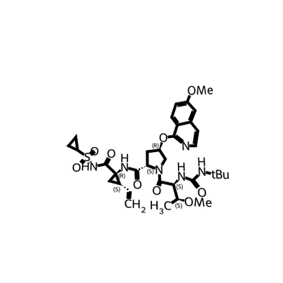 C=C[C@@H]1C[C@]1(NC(=O)[C@@H]1C[C@@H](Oc2nccc3cc(OC)ccc23)CN1C(=O)[C@@H](NC(=O)NC(C)(C)C)[C@H](C)OC)C(=O)NS(=O)(=O)C1CC1